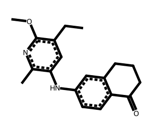 CCc1cc(Nc2ccc3c(c2)CCCC3=O)c(C)nc1OC